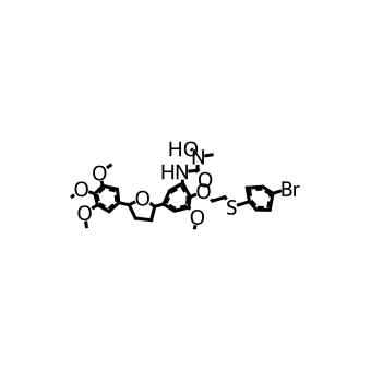 COc1cc(C2CCC(c3cc(OC)c(OC)c(OC)c3)O2)cc(NC(=O)N(C)O)c1OCCSc1ccc(Br)cc1